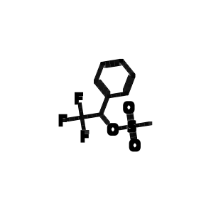 CS(=O)(=O)OC(c1ccccc1)C(F)(F)F